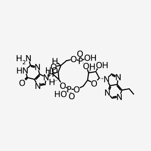 CCc1ncnc2c1ncn2[C@@H]1OC2COP(=O)(O)O[C@@H]3[C@H](O)[C@@H](COP(=O)(O)O[C@H]2[C@H]1O)O[C@H]3n1cnc2c(=O)[nH]c(N)nc21